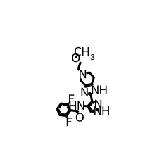 COCCN1CCc2[nH]c(-c3n[nH]cc3NC(=O)c3c(F)cccc3F)nc2C1